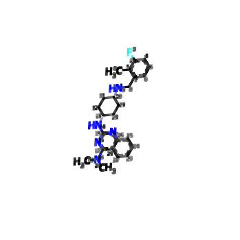 Cc1c(F)cccc1CN[C@H]1CC[C@@H](Nc2nc(N(C)C)c3ccccc3n2)CC1